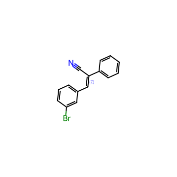 N#C/C(=C\c1cccc(Br)c1)c1ccccc1